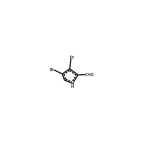 CCc1c(Br)c[nH]c1C=O